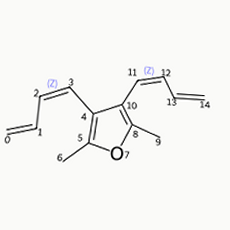 C=C/C=C\c1c(C)oc(C)c1/C=C\C=C